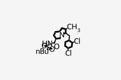 CCCCS(=O)(=O)NC(=O)c1ccc2cc(C)c(Cc3ccc(Cl)cc3Cl)n2c1